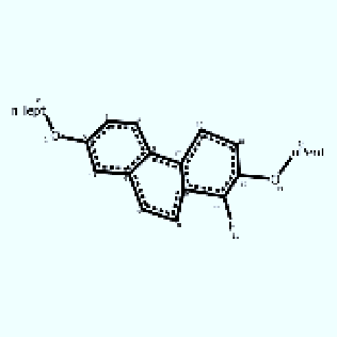 CCCCCCCOc1ccc2c(ccc3c(F)c(OCCCCC)ccc32)c1